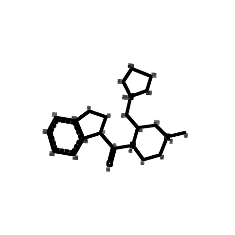 CN1CCN(C(=O)C2CCc3ccccc32)C(CN2CCCC2)C1